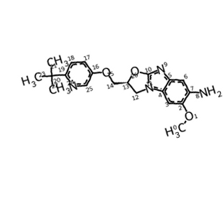 COc1cc2c(cc1N)nc1n2C[C@@H](COc2ccc(C(C)(C)C)nc2)O1